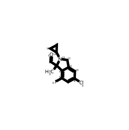 CC1(C=O)c2c(I)cc(Cl)cc2CN1C1CC1